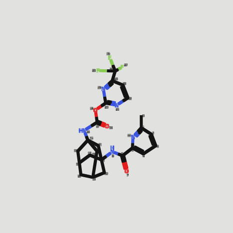 Cc1cccc(C(=O)NC23CC4CC(CC(NC(=O)Oc5nccc(C(F)(F)F)n5)(C4)C2)C3)n1